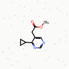 CC(C)(C)OC(=O)Cc1cncnc1C1CC1